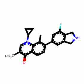 Cc1c(-c2cc(F)c3c(c2)CNC3)ccc2c(=O)c(C(=O)O)cn(C3CC3)c12